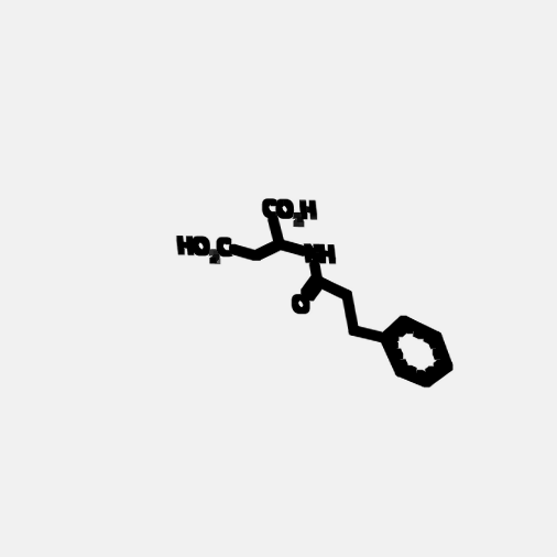 O=C(O)CC(NC(=O)CCc1ccccc1)C(=O)O